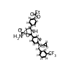 CCS(=O)(=O)c1ccc([C@H](COC(N)=O)NC(=O)c2ccc(N(Cc3cccc(C(F)(F)F)c3)C3CC3)nc2)cc1